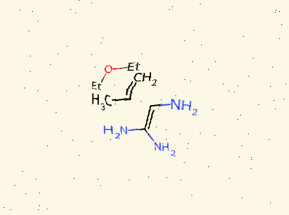 C=CC.CCOCC.NC=C(N)N